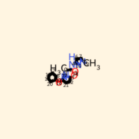 CC(C(=O)Nc1ccn(C)n1)n1nc(Oc2ccccc2)ccc1=O